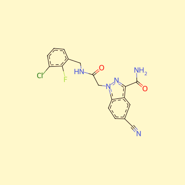 N#Cc1ccc2c(c1)c(C(N)=O)nn2CC(=O)NCc1cccc(Cl)c1F